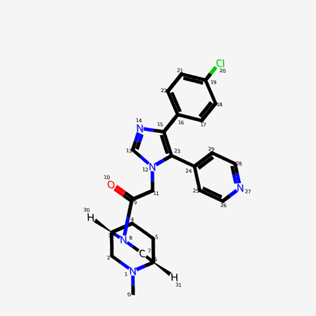 CN1C[C@@H]2CC[C@H]1CN2C(=O)Cn1cnc(-c2ccc(Cl)cc2)c1-c1ccncc1